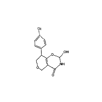 N#Cc1ccc(C2COCC3=C2OC(O)NC3=O)cc1